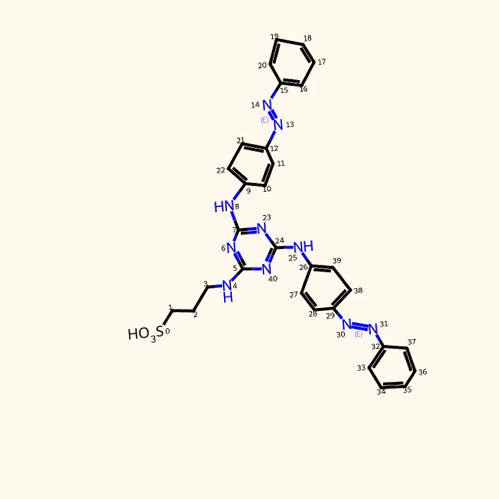 O=S(=O)(O)CCCNc1nc(Nc2ccc(/N=N/c3ccccc3)cc2)nc(Nc2ccc(/N=N/c3ccccc3)cc2)n1